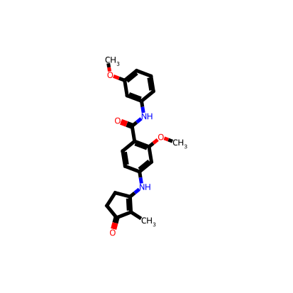 COc1cccc(NC(=O)c2ccc(NC3=C(C)C(=O)CC3)cc2OC)c1